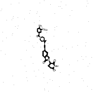 COc1cc(C(=O)N2CCC3(CC2)C[C@H]3C#Cc2ccc3c(c2)CN(C2CCC(=O)NC2=O)C3=O)ccc1N